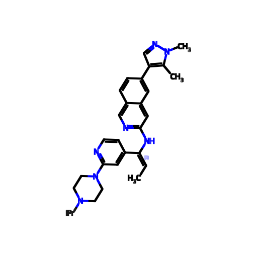 C/C=C(/Nc1cc2cc(-c3cnn(C)c3C)ccc2cn1)c1ccnc(N2CCN(C(C)C)CC2)c1